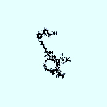 CC(C)(C)OC(=O)N[C@@H]1C[C@H]2C(=O)N[C@]3(C(=O)NS(=O)(=O)C4CC4)C[C@H]3/C=C\CCCCC[C@H](NC(=O)NCCCCCCOc3cccc(-c4cccc(C(=O)O)n4)c3)C(=O)N2C1